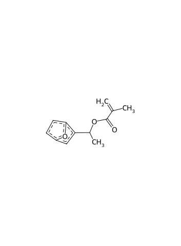 C=C(C)C(=O)OC(C)c1cc2ccc1o2